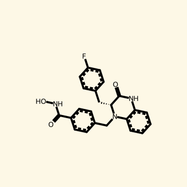 O=C(NO)c1ccc(CN2c3ccccc3NC(=O)[C@H]2Cc2ccc(F)cc2)cc1